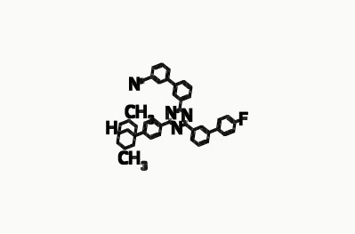 C[C@@H]1C[C@@H]2C[C@H](C)CC(c3ccc(-c4nc(-c5cccc(-c6ccc(F)cc6)c5)nc(-c5cccc(-c6cccc(C#N)c6)c5)n4)cc3)(C1)C2